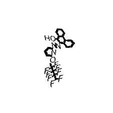 Oc1c(N=Nc2cccc(OCC(F)(F)C(F)(F)C(F)(F)C(F)F)n2)c2ccccc2c2ccccc12